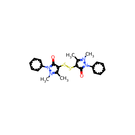 Cc1c(SSc2c(C)n(C)n(-c3ccccc3)c2=O)c(=O)n(-c2ccccc2)n1C